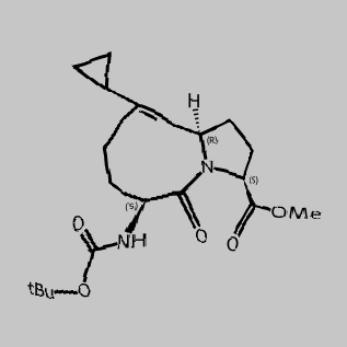 COC(=O)[C@@H]1CC[C@@H]2C=C(C3CC3)CC[C@H](NC(=O)OC(C)(C)C)C(=O)N21